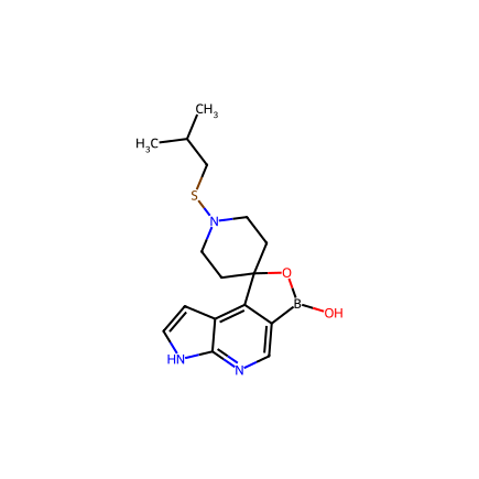 CC(C)CSN1CCC2(CC1)OB(O)c1cnc3[nH]ccc3c12